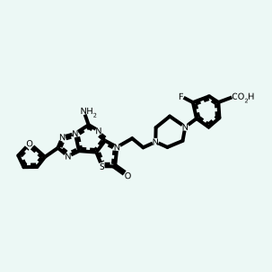 Nc1nc2c(sc(=O)n2CCN2CCN(c3ccc(C(=O)O)cc3F)CC2)c2nc(-c3ccco3)nn12